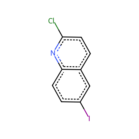 Clc1ccc2cc(I)ccc2n1